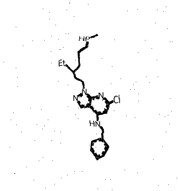 CCC(CCCPC)CCn1ncc2c(NCc3ccccc3)cc(Cl)nc21